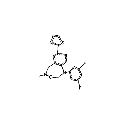 CN1CCN(c2cc(F)cc(F)c2)c2ccc(-c3nccs3)cc2C1